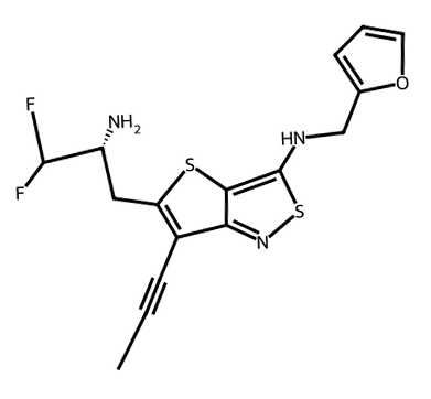 CC#Cc1c(C[C@@H](N)C(F)F)sc2c(NCc3ccco3)snc12